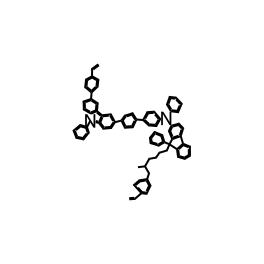 C=Cc1ccc(CC(C)CCCCC2(c3ccccc3)c3ccccc3-c3ccc(N(c4ccccc4)c4ccc(-c5ccc(-c6ccc7c(c6)c6cc(-c8ccc(C=C)cc8)ccc6n7-c6ccccc6)cc5)cc4)cc32)cc1